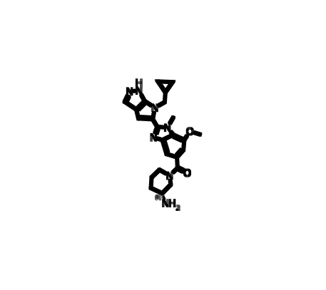 COc1cc(C(=O)N2CCC[C@@H](N)C2)cc2nc(-c3cc4cn[nH]c4n3CC3CC3)n(C)c12